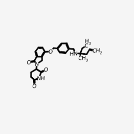 C=CCC(C)(CC)NCc1ccc(COc2cccc3c2CN(C2CCC(=O)NC2=O)C3=O)cc1